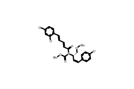 CCCCOC[C@H](/C=C\c1ccc(Cl)cc1)N(C(=O)/C=C/C=C/c1ccc(Cl)cc1Cl)C(=O)OC(C)(C)C